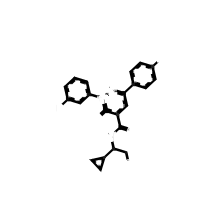 O=C(NC(CO)C1CC1)c1cc(-c2ccc(Cl)cc2)nn(-c2cccc(F)c2)c1=O